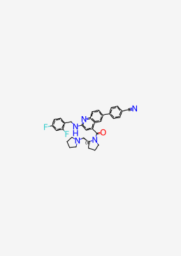 N#Cc1ccc(-c2ccc3nc(NCc4ccc(F)cc4F)cc(C(=O)N4CCC[C@H]4CN4CCCC4)c3c2)cc1